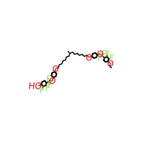 CCOc1ccc(C(F)(F)Oc2ccc(OCCCCCCCC(C)CCCCCCCOc3ccc(OC(F)(F)c4ccc(O)c(F)c4F)cc3)cc2)c(F)c1F